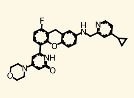 O=c1cc(N2CCOCC2)cc(-c2ccc(F)c3c2Oc2ccc(NCc4cc(C5CC5)ccn4)cc2C3)[nH]1